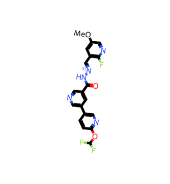 COc1cnc(F)c(/C=N/NC(=O)c2cncc(-c3ccc(OC(F)F)nc3)c2)c1